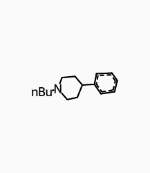 [CH2]CCCN1CCC(c2ccccc2)CC1